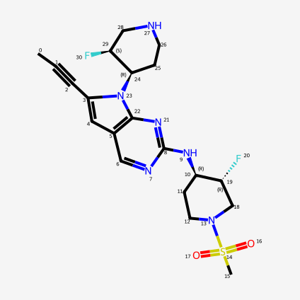 CC#Cc1cc2cnc(N[C@@H]3CCN(S(C)(=O)=O)C[C@H]3F)nc2n1[C@@H]1CCNC[C@@H]1F